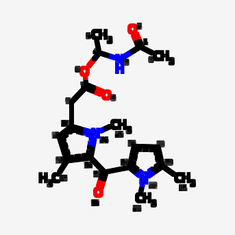 CC(=O)NC(C)OC(=O)Cc1cc(C)c(C(=O)c2ccc(C)n2C)n1C